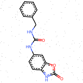 O=C(NCc1ccccc1)Nc1ccc2[nH]c(=O)oc2c1